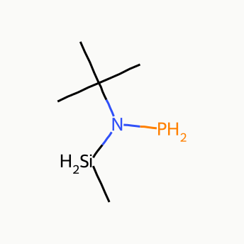 C[SiH2]N(P)C(C)(C)C